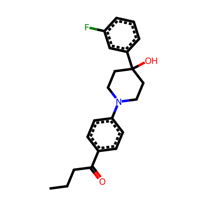 CCCC(=O)c1ccc(N2CCC(O)(c3cccc(F)c3)CC2)cc1